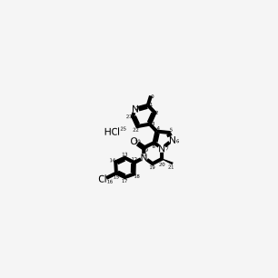 Cc1cc(-c2cnn3c2C(=O)N(c2ccc(Cl)cc2)C[C@@H]3C)ccn1.Cl